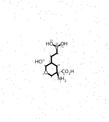 Cl.N[C@@]1(C(=O)O)COCC(CCB(O)O)C1